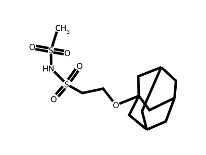 CS(=O)(=O)NS(=O)(=O)CCOC12CC3CC(CC(C3)C1)C2